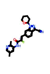 Cc1cnc(C)c(NC(=O)/C(F)=C/c2ccc3c(C#N)nn(C4CCCCO4)c3c2)c1